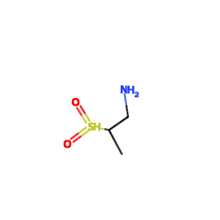 CC(CN)[SH](=O)=O